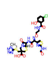 Cn1nnnc1SCC1(C(=O)O)CS[C@@H]2C(NC(=O)C(=NOCCNC(=O)c3cc(Cl)ccc3O)c3csc(NC=O)n3)C(=O)N2C1